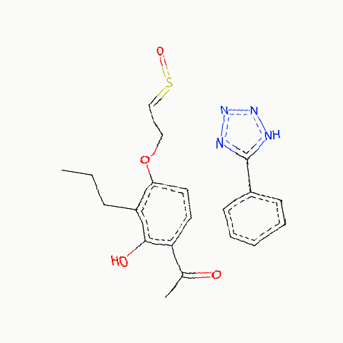 CCCc1c(OCC=S=O)ccc(C(C)=O)c1O.c1ccc(-c2nnn[nH]2)cc1